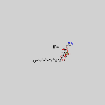 CCCCCCCCCCCCCC(=O)OC(=O)CC(C(=O)OCCN)S(=O)(=O)O.[NaH].[NaH]